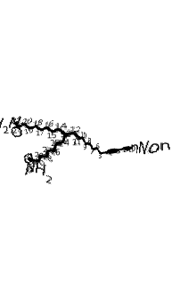 CCCCCCCCCC#CC#CCCCCCCCCC(CCCCCCCC(N)=O)CCCCCCCC(N)=O